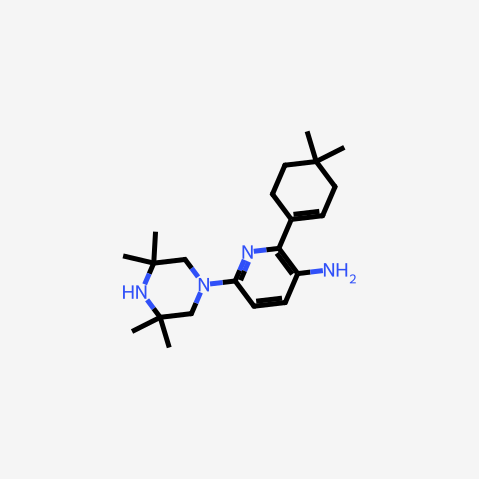 CC1(C)CC=C(c2nc(N3CC(C)(C)NC(C)(C)C3)ccc2N)CC1